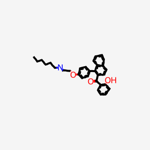 CCCCCCN=CCOc1ccc(-c2c(C(=O)c3ccccc3O)ccc3ccccc23)cc1